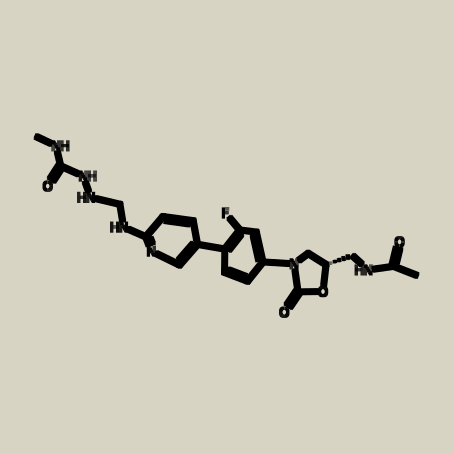 CNC(=O)NNCNc1ccc(-c2ccc(N3C[C@H](CNC(C)=O)OC3=O)cc2F)cn1